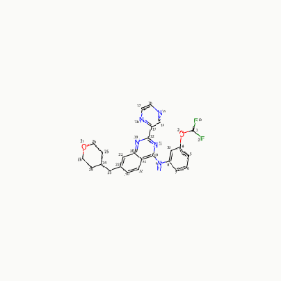 FC(F)Oc1cccc(Nc2nc(-c3cnccn3)nc3cc(CC4CCOCC4)ccc23)c1